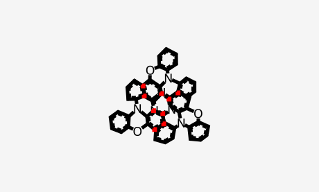 c1ccc2c(c1)Oc1ccccc1N2c1ccccc1-c1nc(-c2ccccc2N2c3ccccc3Oc3ccccc32)nc(-c2ccccc2N2c3ccccc3Oc3ccccc32)n1